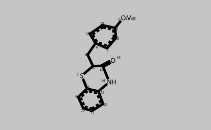 COc1ccc(CC2Sc3ccccc3NC2=O)cc1